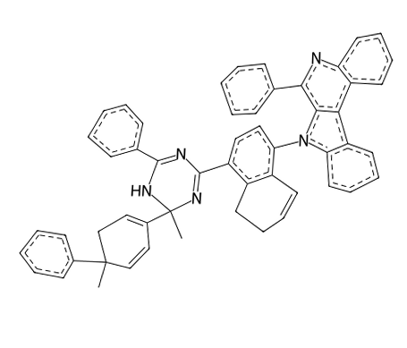 CC1(C2=CCC(C)(c3ccccc3)C=C2)N=C(c2ccc(-n3c4ccccc4c4c5ccccc5nc(-c5ccccc5)c43)c3c2CCC=C3)N=C(c2ccccc2)N1